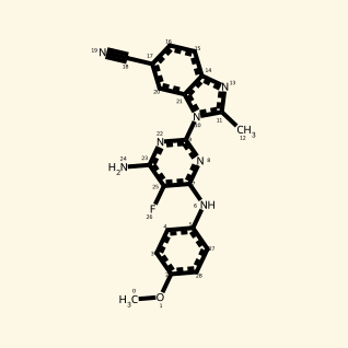 COc1ccc(Nc2nc(-n3c(C)nc4ccc(C#N)cc43)nc(N)c2F)cc1